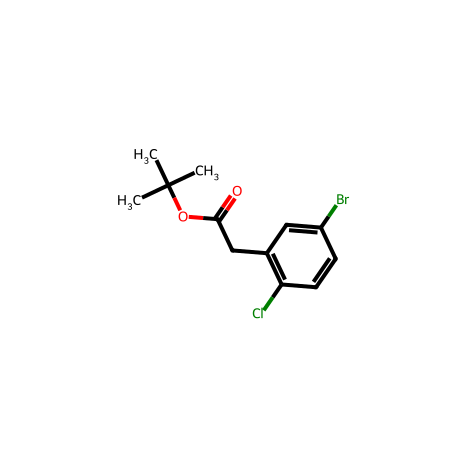 CC(C)(C)OC(=O)Cc1cc(Br)ccc1Cl